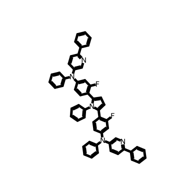 Fc1cc(N(c2ccccc2)c2ccc(-c3ccccc3)nc2)ccc1-c1ccc(-c2ccc(N(c3ccccc3)c3ccc(-c4ccccc4)nc3)cc2F)n1-c1ccccc1